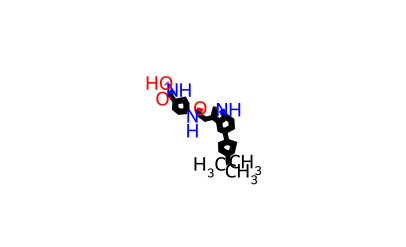 CC(C)(C)c1ccc(-c2ccc3[nH]cc(CC(=O)Nc4ccc(C(=O)NO)cc4)c3c2)cc1